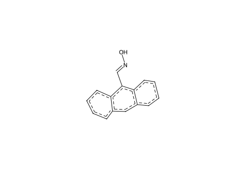 ON=Cc1c2ccccc2cc2ccccc12